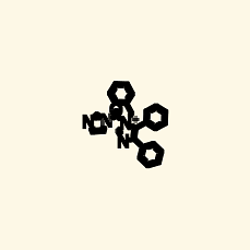 O=C(n1ccnc1)[N+]1(Cc2ccccc2)C=NC(c2ccccc2)=C1c1ccccc1